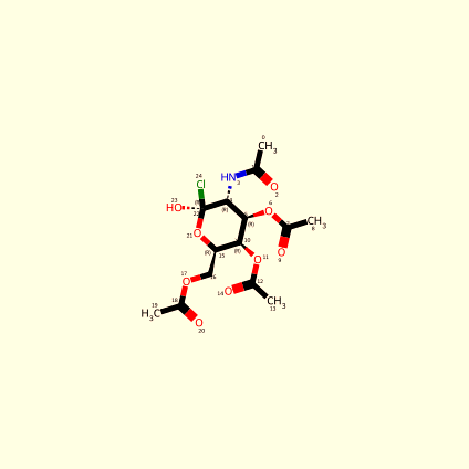 CC(=O)N[C@@H]1[C@@H](OC(C)=O)[C@@H](OC(C)=O)[C@@H](COC(C)=O)O[C@@]1(O)Cl